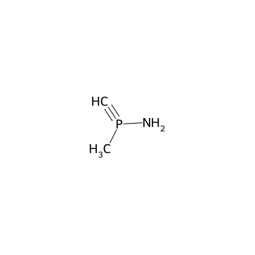 C#P(C)N